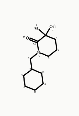 [CH2]CC1(O)CCCN(CC2CCCCC2)C1=O